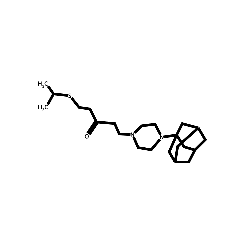 CC(C)SCCC(=O)CCN1CCN(C23CC4CC(CC(C4)C2)C3)CC1